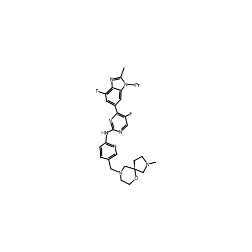 Cc1nc2c(F)cc(-c3nc(Nc4ccc(CN5CCO[C@]6(CCN(C)C6)C5)cn4)ncc3F)cc2n1C(C)C